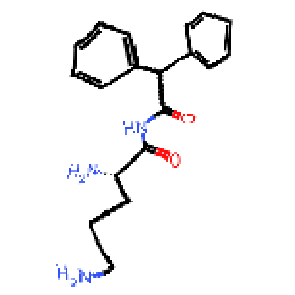 NCCC[C@H](N)C(=O)NC(=O)C(c1ccccc1)c1ccccc1